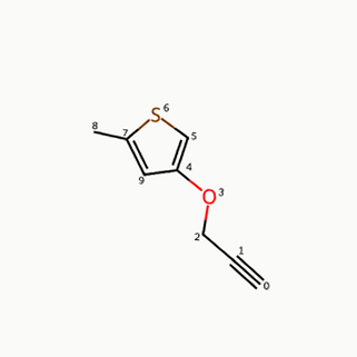 C#CCOc1csc(C)c1